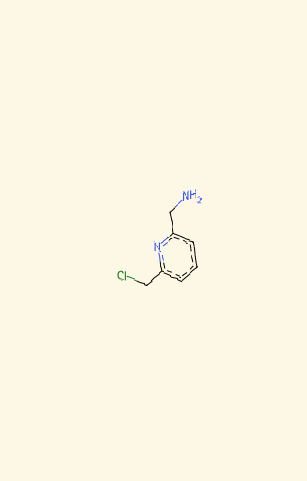 NCc1cccc(CCl)n1